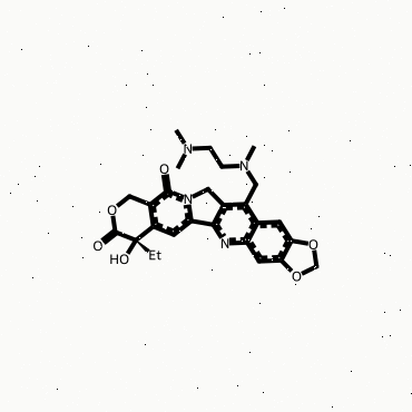 CC[C@@]1(O)C(=O)OCc2c1cc1n(c2=O)Cc2c-1nc1cc3c(cc1c2CN(C)CCN(C)C)OCO3